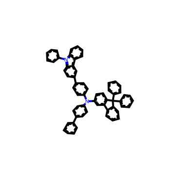 c1ccc(-c2ccc(N(c3ccc(-c4ccc5c(c4)c4ccccc4n5-c4ccccc4)cc3)c3ccc4c(c3)-c3ccccc3C4(c3ccccc3)c3ccccc3)cc2)cc1